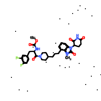 Cn1c(=O)n(C2CCC(=O)NC2=O)c2cccc(CCCC3CCN(C(=O)C(Cc4ccc(F)c(F)c4)NC(=O)OC(C)(C)C)CC3)c21